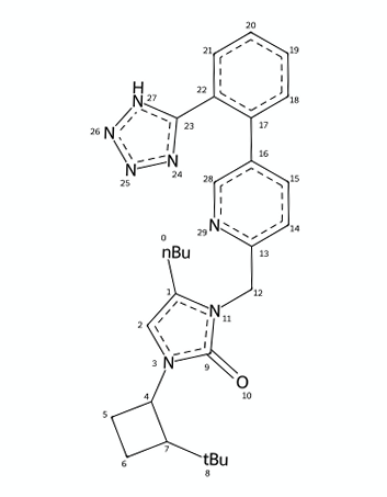 CCCCc1cn(C2CCC2C(C)(C)C)c(=O)n1Cc1ccc(-c2ccccc2-c2nnn[nH]2)cn1